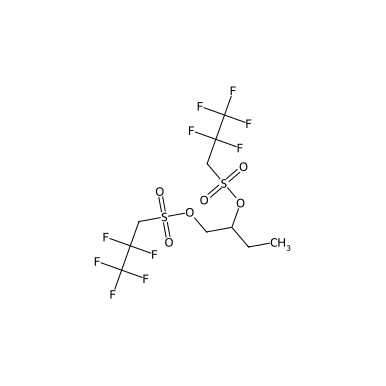 CCC(COS(=O)(=O)CC(F)(F)C(F)(F)F)OS(=O)(=O)CC(F)(F)C(F)(F)F